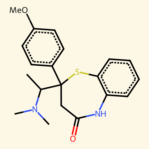 COc1ccc(C2(C(C)N(C)C)CC(=O)Nc3ccccc3S2)cc1